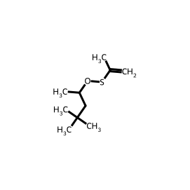 C=C(C)SOC(C)CC(C)(C)C